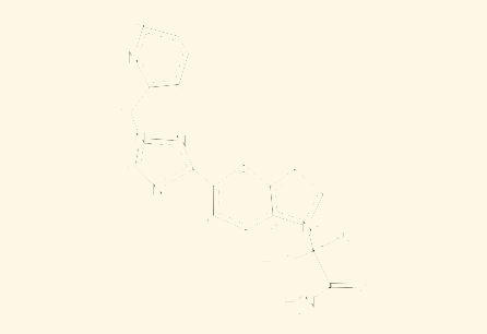 CC(C)(C(N)=O)n1ccc2cc(-c3ncn(Cc4ccccn4)n3)ccc21